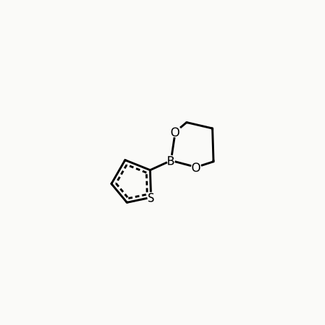 c1csc(B2OCCCO2)c1